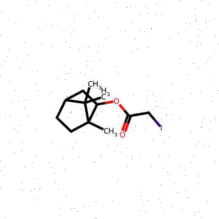 CC1(C)C2CCC1(C)C(OC(=O)CI)C2